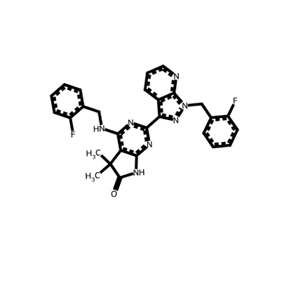 CC1(C)C(=O)Nc2nc(-c3nn(Cc4ccccc4F)c4ncccc34)nc(NCc3ccccc3F)c21